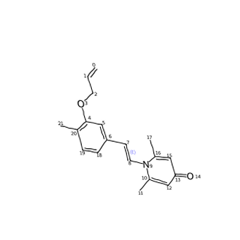 C=CCOc1cc(/C=C/n2c(C)cc(=O)cc2C)ccc1C